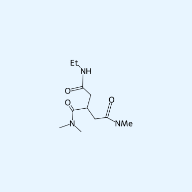 CCNC(=O)CC(CC(=O)NC)C(=O)N(C)C